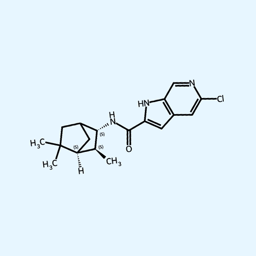 C[C@@H]1[C@@H](NC(=O)c2cc3cc(Cl)ncc3[nH]2)C2C[C@@H]1C(C)(C)C2